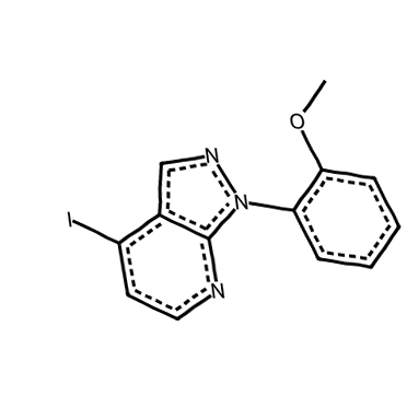 COc1ccccc1-n1ncc2c(I)ccnc21